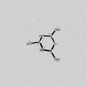 OB1NB(O)PB(O)O1